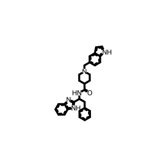 O=C(NC(Cc1ccccc1)c1nc2ccccc2[nH]1)C1CCN(Cc2ccc3[nH]ccc3c2)CC1